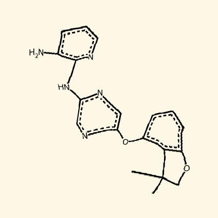 CC1(C)COc2cccc(Oc3cnc(Nc4ncccc4N)cn3)c21